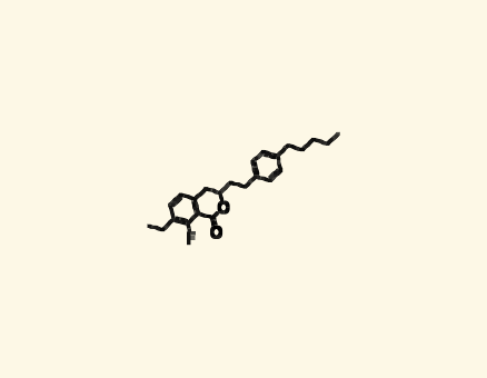 CCCCCc1ccc(CCC2Cc3ccc(CC)c(F)c3C(=O)O2)cc1